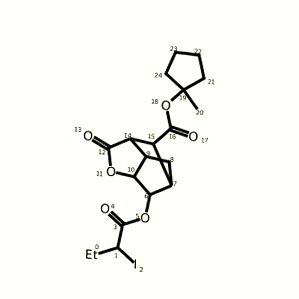 CCC(I)C(=O)OC1C2CC3C1OC(=O)C3C2C(=O)OC1(C)CCCC1